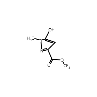 Cn1nc(C(=O)OC(F)(F)F)cc1O